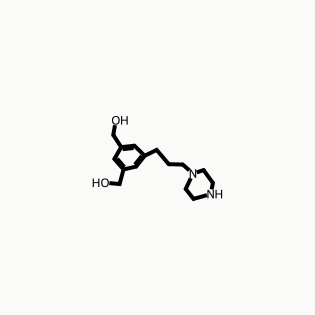 OCc1cc(CO)cc(CCCN2CCNCC2)c1